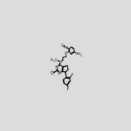 [C-]#[N+]c1ccc(N)cc1OCCCN(C)c1nc(Cl)nc2c1CCC2c1ccc(F)cc1F